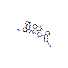 N#Cc1ccc2c(c1)c1ccccc1n2-c1cnc2c(c1)C1(c3ccccc3Oc3ccc(N4c5ccccc5Oc5ccccc54)cc31)c1cc(-n3c4ccccc4c4cc(C#N)ccc43)cnc1-2